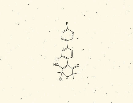 CCc1cc(-c2ccc(F)cc2)ccc1C1=C(O)C(C)(CC)OC(C)(C)C1=O